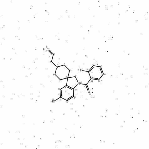 C=CCN1CCC2(CC1)CN(C(=O)c1ccccc1F)c1ccc(O)cc12